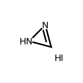 C1=NN1.I